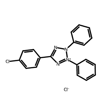 Clc1ccc(-c2nn(-c3ccccc3)[n+](-c3ccccc3)n2)cc1.[Cl-]